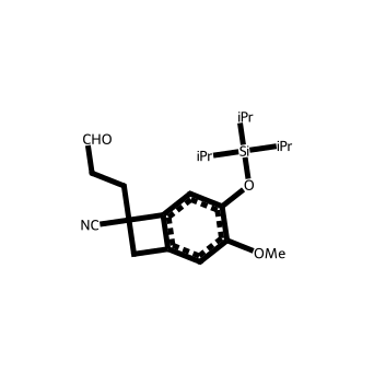 COc1cc2c(cc1O[Si](C(C)C)(C(C)C)C(C)C)C(C#N)(CCC=O)C2